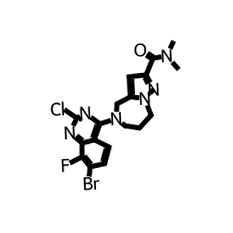 CN(C)C(=O)c1cc2n(n1)CCCN(c1nc(Cl)nc3c(F)c(Br)ccc13)C2